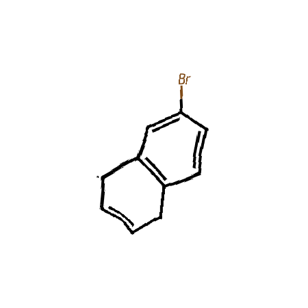 Brc1ccc2c(c1)[CH]C=CC2